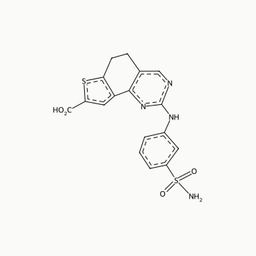 NS(=O)(=O)c1cccc(Nc2ncc3c(n2)-c2cc(C(=O)O)sc2CC3)c1